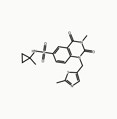 Cc1ncc(Cn2c(=O)n(C)c(=O)c3cc(S(=O)(=O)NC4(C)CC4)ccc32)s1